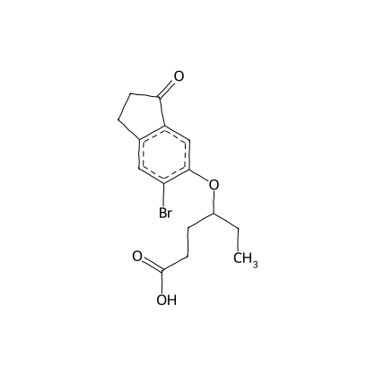 CCC(CCC(=O)O)Oc1cc2c(cc1Br)CCC2=O